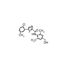 Cc1ccc(Cl)c(-c2cnc(C(=O)Nc3c(C)cc(CO)cc3C)s2)c1